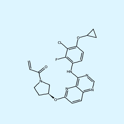 C=CC(=O)N1CC[C@H](Oc2ccc3ncnc(Nc4ccc(OC5CC5)c(Cl)c4F)c3n2)C1